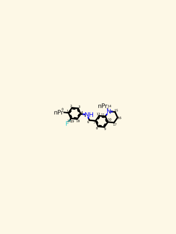 CCCc1ccc(NCc2ccc3c(c2)N(CCC)CCC3)cc1F